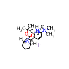 CC(C)(C)OC(=O)N1[C@@H]2CCC[C@H]1[C@H](c1ccc([N+](C)(C)C)nc1)C2.[I-]